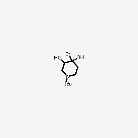 CCC1(O)CCN(C(C)(C)C)CC1O